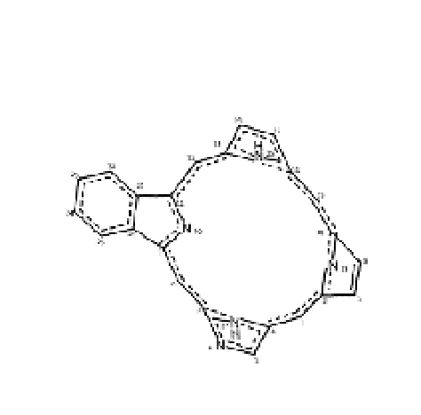 C1=Cc2cc3cnc(cc4nc(cc5ccc(cc1n2)[nH]5)-c1ccccc1-4)[nH]3